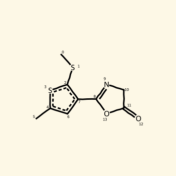 CSc1sc(C)cc1C1=NCC(=O)O1